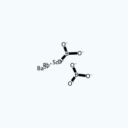 [Ba+2].[O-]B([O-])[O-].[O-]B([O-])[O-].[Rb+].[Sc+3]